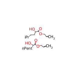 C=CCOC(=O)C(O)CCC(C)C.C=CCOC(=O)C(O)CCCCC